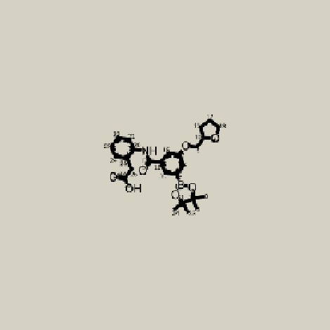 CC1(C)OB(c2cc(OCC3CCCO3)cc(C(=O)Nc3ccccc3CC(=O)O)c2)OC1(C)C